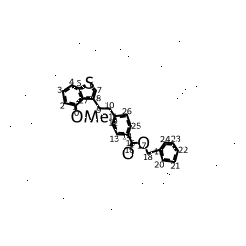 COc1cccc2scc(CCc3ccc(C(=O)OCc4ccccc4)cc3)c12